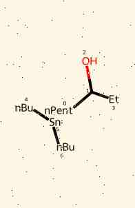 CCCCCC(O)CC.CCC[CH2][Sn][CH2]CCC